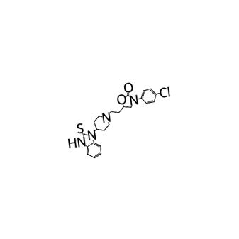 O=C1OC(CCN2CCC(n3c(=S)[nH]c4ccccc43)CC2)CN1c1ccc(Cl)cc1